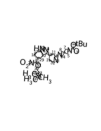 CC(C)(C)OC(=O)N1CC2(C1)CN(c1cc(-c3n[nH]c4ccc(C(OCC[Si](C)(C)C)[N+](=O)[O-])cc34)ccn1)C2